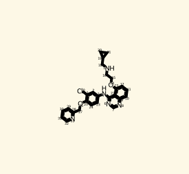 Clc1cc(Nc2ncnc3cccc(OCCNCC4CC4)c23)ccc1OCc1ccccn1